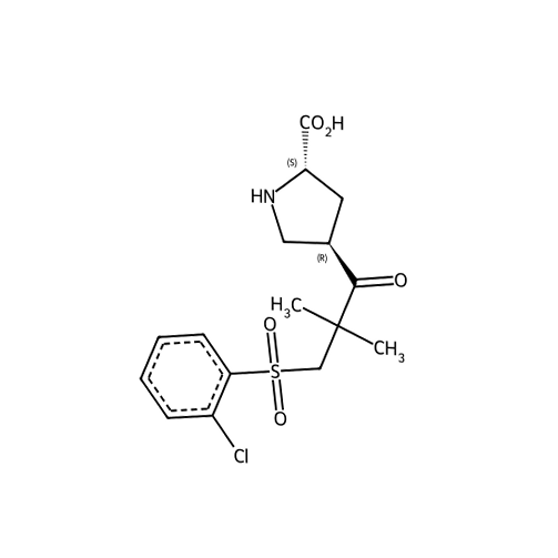 CC(C)(CS(=O)(=O)c1ccccc1Cl)C(=O)[C@H]1CN[C@H](C(=O)O)C1